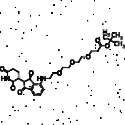 CC(C)(C)OC(=O)CCOCCOCCOCCNc1cccc2c1C(=O)C(C1CCC(=O)NC1=O)C2=O